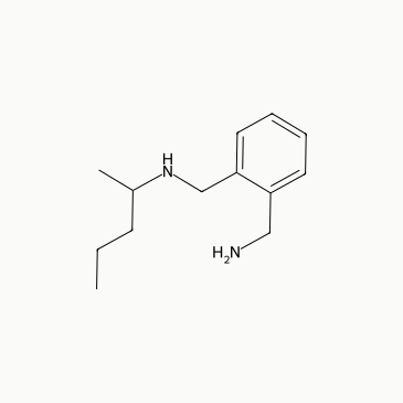 CCCC(C)NCc1ccccc1CN